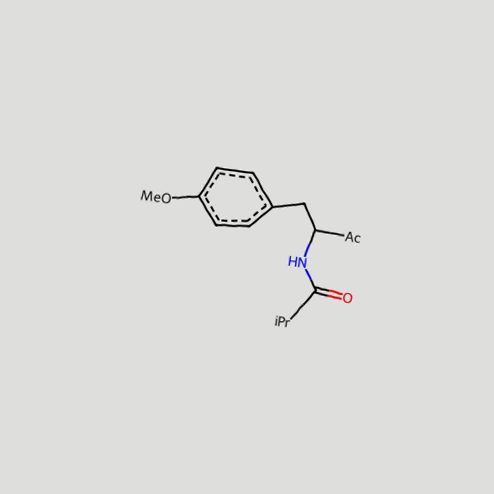 COc1ccc(CC(NC(=O)C(C)C)C(C)=O)cc1